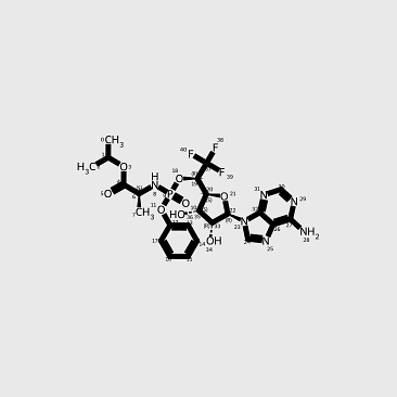 CC(C)OC(=O)[C@H](C)NP(=O)(Oc1ccccc1)O[C@H]([C@H]1O[C@@H](n2cnc3c(N)ncnc32)[C@H](O)[C@@H]1O)C(F)(F)F